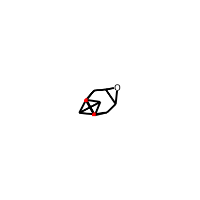 O1C2C1C1C3C4C2C2C1C2C43